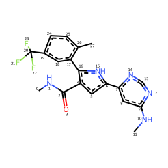 CNC(=O)c1cc(-c2cc(NC)ncn2)[nH]c1-c1cc(C(F)(F)F)ccc1C